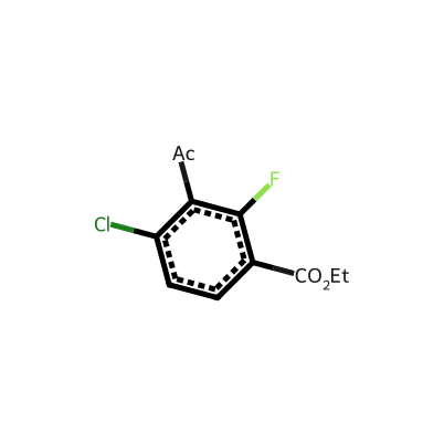 CCOC(=O)c1ccc(Cl)c(C(C)=O)c1F